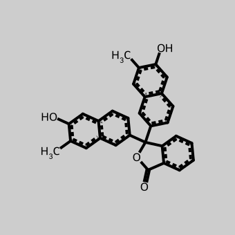 Cc1cc2cc(C3(c4ccc5cc(O)c(C)cc5c4)OC(=O)c4ccccc43)ccc2cc1O